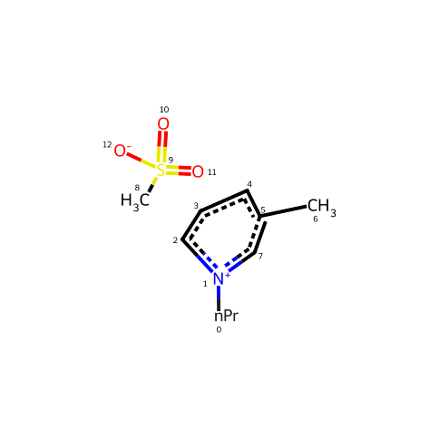 CCC[n+]1cccc(C)c1.CS(=O)(=O)[O-]